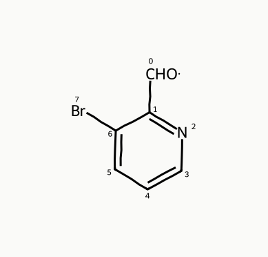 O=[C]c1ncccc1Br